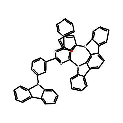 c1ccc(-c2nc(-c3cccc(-n4c5ccccc5c5ccccc54)c3)nc(-n3c4ccccc4c4ccc5c6ccccc6n(-c6ccccc6)c5c43)n2)cc1